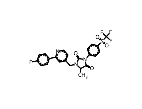 CC1C(=O)N(c2ccc(S(=O)(=O)C(F)(F)F)cc2)C(=O)N1Cc1ccnc(-c2ccc(F)cc2)c1